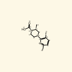 C[C@H]1CN(c2nc(F)ccc2F)CCN1C(=O)O